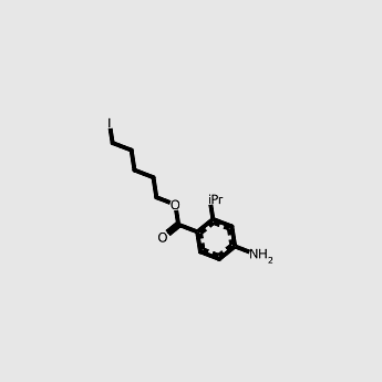 CC(C)c1cc(N)ccc1C(=O)OCCCCCI